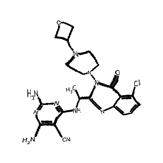 CC(Nc1nc(N)nc(N)c1C#N)c1nc2cccc(Cl)c2c(=O)n1N1CCN(C2COC2)CC1